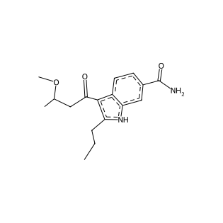 CCCc1[nH]c2cc(C(N)=O)ccc2c1C(=O)CC(C)OC